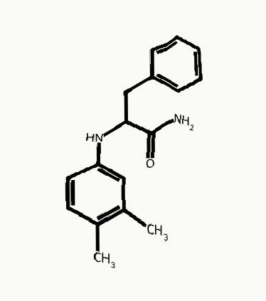 Cc1ccc(NC(Cc2ccccc2)C(N)=O)cc1C